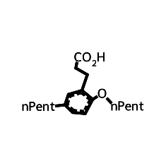 CCCCCOc1ccc(CCCCC)cc1CCC(=O)O